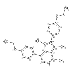 CCOc1ccc(-c2nnc(C)c3c(C)n(-c4ccc(OCC)cc4)c(C)c23)cc1